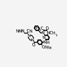 COc1cc(C(=O)N2CCN(C(C#N)CN=[N+]=[N-])CC2)ccc1Nc1ccc2c(n1)N(Cc1ccccc1)[C@H](C)C(=O)N2C